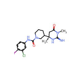 CN1C(=N)N[C@](C)(C2CCCN(C(=O)Nc3ccc(I)c(Cl)c3)C2)CC1=O